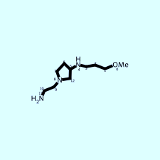 COCCCNC1CCN(CCN)C1